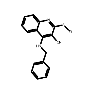 CCSc1nc2ccccc2c(NCc2ccccc2)c1C#N